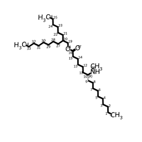 CCCCCCCCCC[C@H](CCCCCC(=O)OCC(CCCCCC)CCCCCCCC)NC